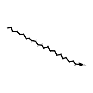 [CH2]CCCCCCCCCCCCCCCCCCCCCCC#N